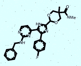 CNC(=O)C1(C)COC(c2nc(-c3ccc(F)cc3)c(-c3ccnc(NCc4ccccc4)n3)[nH]2)OC1